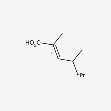 CCCC(C)/C=C(\C)C(=O)O